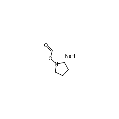 O=CON1CCCC1.[NaH]